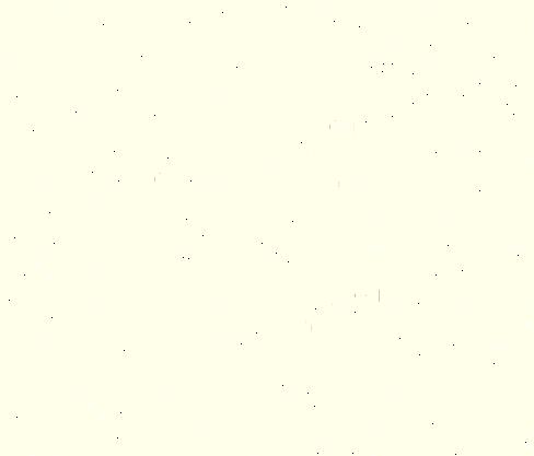 O=CC(CCCCC(=O)O)CCCC(=O)O